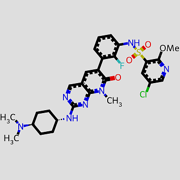 COc1ncc(Cl)cc1S(=O)(=O)Nc1cccc(-c2cc3cnc(N[C@H]4CC[C@H](N(C)C)CC4)nc3n(C)c2=O)c1F